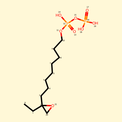 CCC1(CCCCCCCCOP(=O)(O)OP(=O)(O)O)CO1